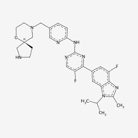 Cc1nc2c(F)cc(-c3nc(Nc4ccc(CN5CCO[C@]6(CCNC6)C5)cn4)ncc3F)cc2n1C(C)C